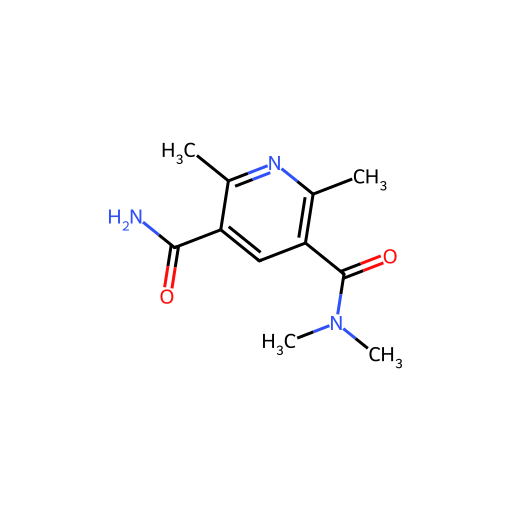 Cc1nc(C)c(C(=O)N(C)C)cc1C(N)=O